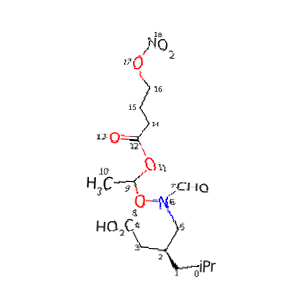 CC(C)C[C@@H](CC(=O)O)CN(C=O)OC(C)OC(=O)CCCO[N+](=O)[O-]